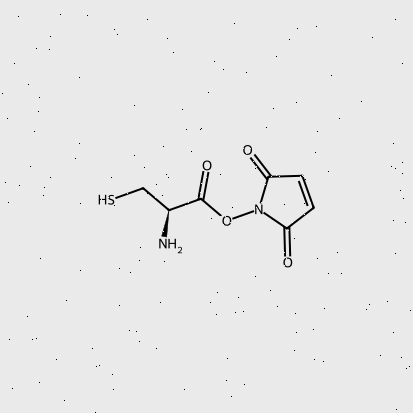 N[C@@H](CS)C(=O)ON1C(=O)C=CC1=O